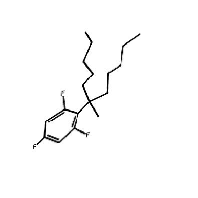 CCCCCC(C)(CCCCC)c1c(F)cc(F)cc1F